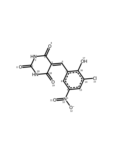 O=C1NC(=O)C(=Cc2cc([N+](=O)[O-])cc(Cl)c2O)C(=O)N1